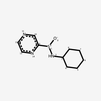 [O-][S+](NC1CCCCC1)c1cnccn1